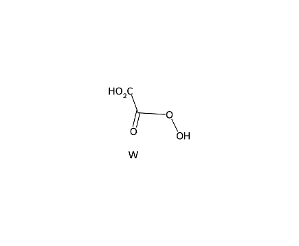 O=C(O)C(=O)OO.[W]